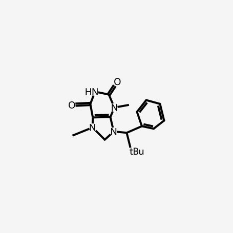 CN1CN(C(c2ccccc2)C(C)(C)C)c2c1c(=O)[nH]c(=O)n2C